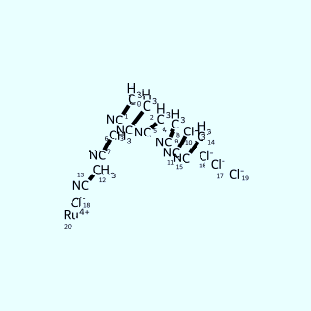 CC#N.CC#N.CC#N.CC#N.CC#N.CC#N.CC#N.CC#N.[Cl-].[Cl-].[Cl-].[Cl-].[Ru+4]